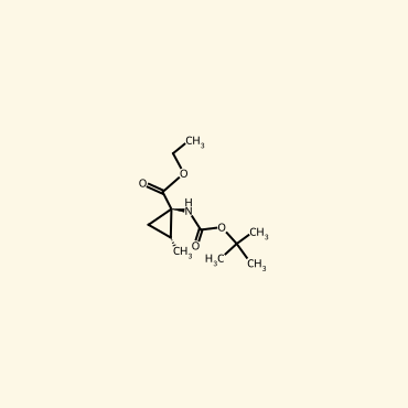 CCOC(=O)[C@@]1(NC(=O)OC(C)(C)C)C[C@H]1C